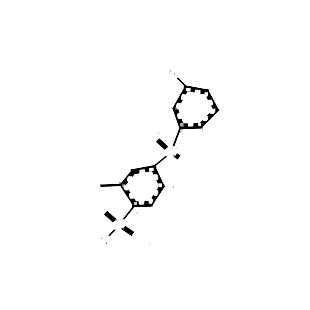 Cc1cc(S(=O)(=O)c2cccc(N)c2)ccc1S(N)(=O)=O